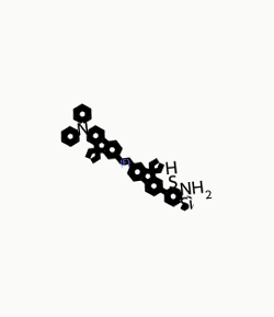 CCC1(CC)c2cc(/C=C/c3ccc4c(c3)C(CC)(CC)c3cc(N(c5ccccc5)c5ccccc5)ccc3-4)ccc2-c2ccc(-c3ccc([Si](C)(C)C)c(N)c3S)cc21